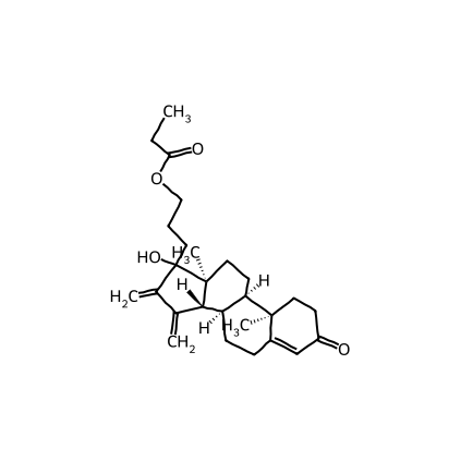 C=C1C(=C)C(O)(CCCOC(=O)CC)[C@@]2(C)CC[C@@H]3[C@@H](CCC4=CC(=O)CC[C@@]43C)[C@H]12